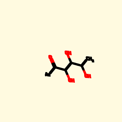 CC(=O)C(=O)C(O)C(O)C(C)O